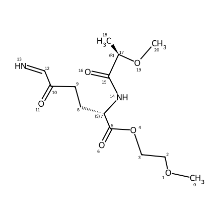 COCCOC(=O)[C@H](CCC(=O)C=N)NC(=O)[C@@H](C)OC